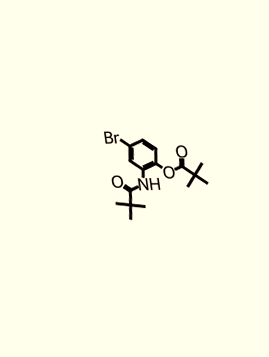 CC(C)(C)C(=O)Nc1cc(Br)ccc1OC(=O)C(C)(C)C